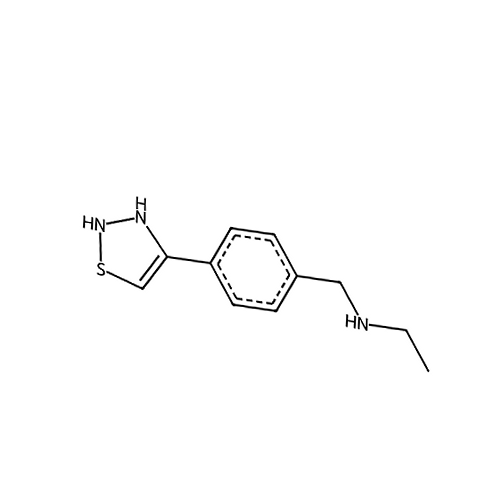 CCNCc1ccc(C2=CSNN2)cc1